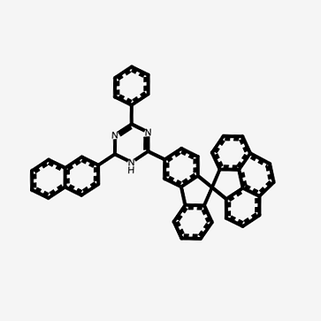 c1ccc(C2=NC(c3ccc4ccccc4c3)NC(c3ccc4c(c3)-c3ccccc3C43c4cccc5ccc6cccc3c6c45)=N2)cc1